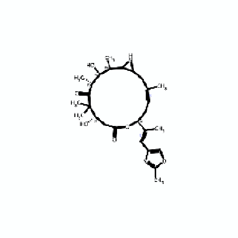 C/C1=C/C[C@@H](/C(C)=C/c2coc(C)n2)OC(=O)C[C@H](O)C(C)(C)C(=O)[C@H](C)[C@@H](O)[C@@H](C)C2NC2C1